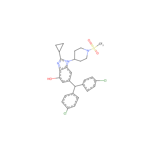 O=S(=O)(N1CCC(n2c(C3CC3)nc3c(O)cc(C(c4ccc(Cl)cc4)c4ccc(Cl)cc4)cc32)CC1)C(F)(F)F